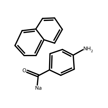 Nc1ccc([C](=O)[Na])cc1.c1ccc2ccccc2c1